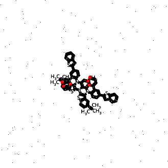 Cc1cc2c3c(c1)N(c1ccc(-c4cc5ccccc5s4)cc1-c1ccccc1)c1c(sc4ccc(C(C)(C)C)cc14)B3c1sc3ccc(C(C)(C)C)cc3c1N2c1ccc(-c2cc3ccccc3s2)cc1-c1ccccc1